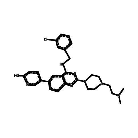 CN(C)CCN1CCN(c2nc(NCc3cccc(Cl)c3)c3cc(-c4ccc(O)nc4)ccc3n2)CC1